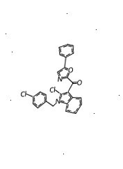 O=C(c1ncc(-c2ccccc2)o1)c1c(Cl)n(Cc2ccc(Cl)cc2)c2ccccc12